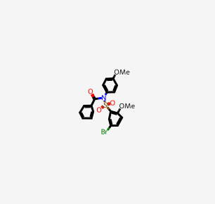 COc1ccc(N(C(=O)c2ccccc2)S(=O)(=O)c2cc(Br)ccc2OC)cc1